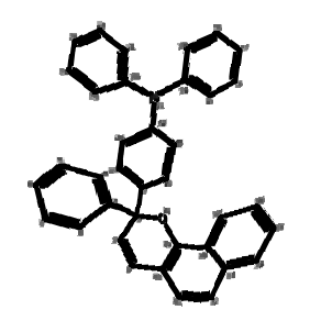 C1=CC(c2ccccc2)(c2ccc(N(c3ccccc3)c3ccccc3)cc2)Oc2c1ccc1ccccc21